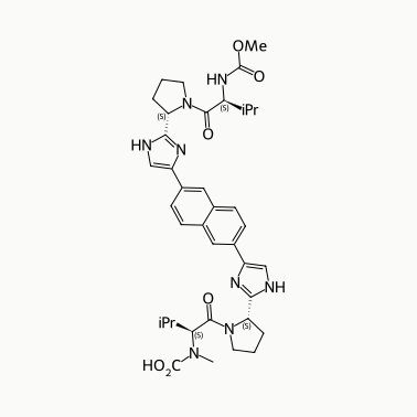 COC(=O)N[C@H](C(=O)N1CCC[C@H]1c1nc(-c2ccc3cc(-c4c[nH]c([C@@H]5CCCN5C(=O)[C@H](C(C)C)N(C)C(=O)O)n4)ccc3c2)c[nH]1)C(C)C